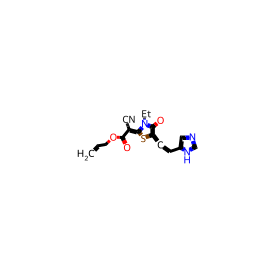 C=CCOC(=O)/C(C#N)=c1\sc(=C=Cc2cnc[nH]2)c(=O)n1CC